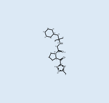 Cc1nc(C(=O)C2CCCN2C(=O)CNC(C)(C)CC2CCCCC2)no1